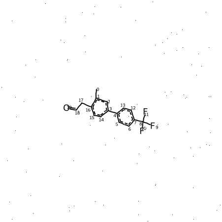 Cc1cc(-c2ccc(C(F)(F)F)cc2)ccc1CC=O